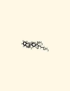 C=CCCC(=O)C(N)c1ccc(C(=O)Nc2ccccc2N)cn1